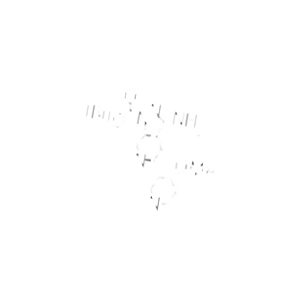 COc1ccncc1-c1cc2c(N)nn(C(=O)OC(C)(C)C)c2cn1